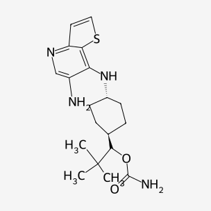 CC(C)(C)C(OC(N)=O)[C@H]1CC[C@H](Nc2c(N)cnc3ccsc23)CC1